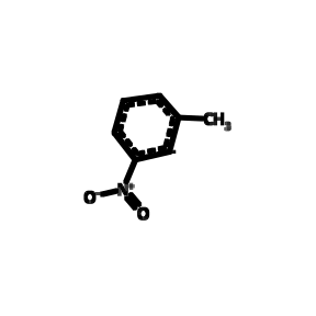 Cc1[c]c([N+](=O)[O-])ccc1